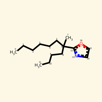 CCCCCCC(C)(CCCC)c1ncco1